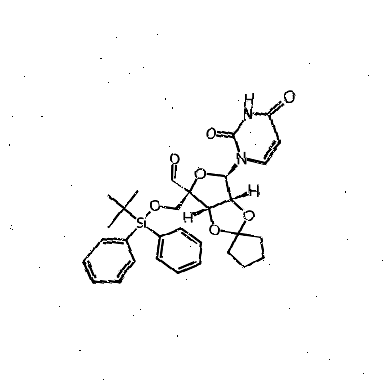 CC(C)(C)[Si](OC[C@@]1(C=O)O[C@@H](n2ccc(=O)[nH]c2=O)[C@@H]2OC3(CCCC3)O[C@@H]21)(c1ccccc1)c1ccccc1